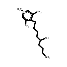 C[n+]1cc(N)c(CCCCC(O)CCCN)c(N)c1